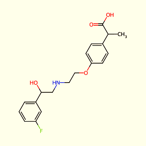 CC(C(=O)O)c1ccc(OCCNCC(O)c2cccc(F)c2)cc1